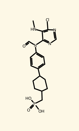 CNc1c(Cl)ncnc1N(C=O)c1ccc(C2CCC(CP(=O)(O)O)CC2)cc1